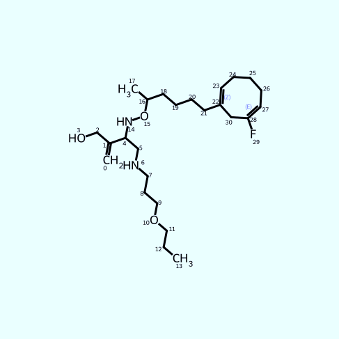 C=C(CO)C(CNCCCOCCC)NOC(C)CCCC/C1=C/CCC/C=C(/F)C1